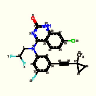 O=c1nc(N(CC(F)F)c2cc(F)cc(C#CC3(C(F)(F)F)CC3)c2)c2ccc(Cl)cc2[nH]1